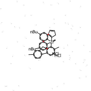 Cl.Cl.[CH2]=[Zr]([C]1=CC=CC1)([c]1ccc(CCCC)cc1)([c]1ccc(CCCC)cc1)[c]1c(C)ccc2c1Cc1cc(C)ccc1-2